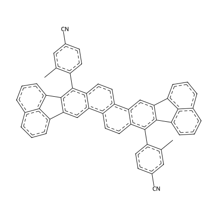 Cc1cc(C#N)ccc1-c1c2c(cc3c1ccc1c4cc5c(c(-c6ccc(C#N)cc6C)c4ccc31)-c1cccc3cccc-5c13)-c1cccc3cccc-2c13